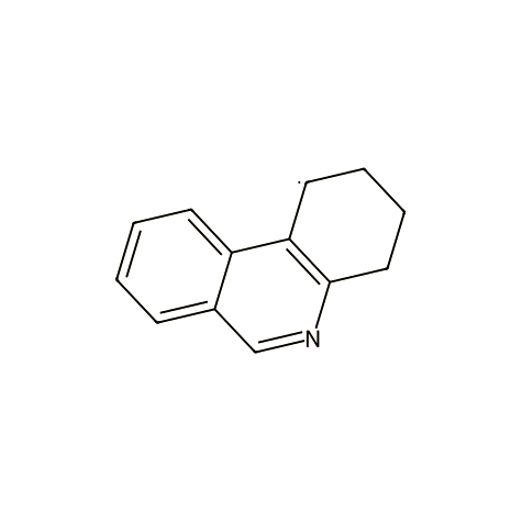 [CH]1CCCc2ncc3ccccc3c21